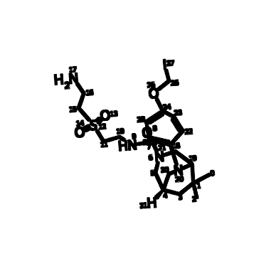 CC1(C)C[C@@H]2CN(C(=O)NCCS(=O)(=O)CCN)CC1N(c1ccc(OCI)cc1)C2